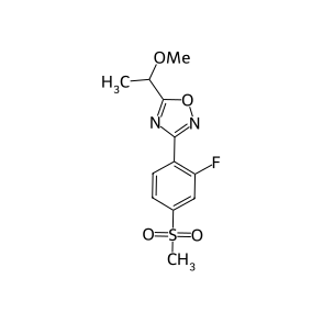 COC(C)c1nc(-c2ccc(S(C)(=O)=O)cc2F)no1